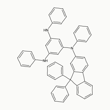 c1ccc(Nc2cc(Nc3ccccc3)cc(N(c3ccccc3)c3ccc4c(c3)C(c3ccccc3)(c3ccccc3)c3ccccc3-4)c2)cc1